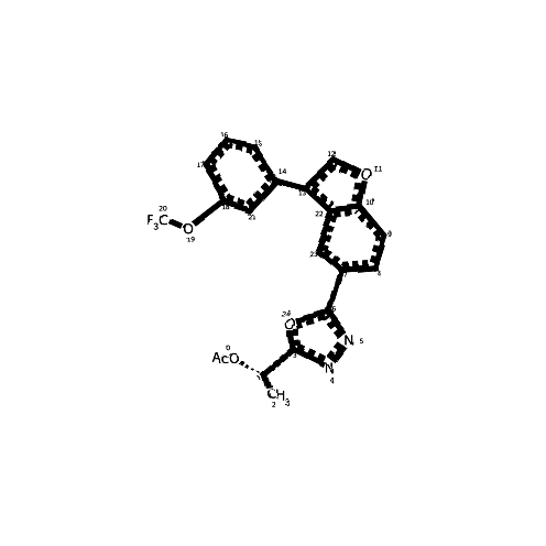 CC(=O)O[C@@H](C)c1nnc(-c2ccc3occ(-c4cccc(OC(F)(F)F)c4)c3c2)o1